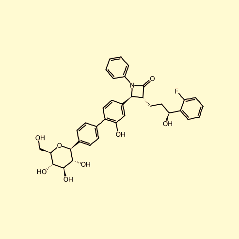 O=C1[C@H](CC[C@H](O)c2ccccc2F)[C@@H](c2ccc(-c3ccc([C@@H]4O[C@H](CO)[C@@H](O)[C@H](O)[C@H]4O)cc3)c(O)c2)N1c1ccccc1